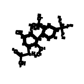 COc1c(CC(=O)O)cc(Cl)c(F)c1-c1ccc(C(F)(F)F)cc1[N+](=O)[O-]